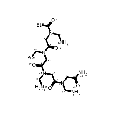 CCC(=O)N(CN)CC(=O)N(CC(=O)N(CN)CC(=O)N(CN)CC(N)=O)CC(C)C